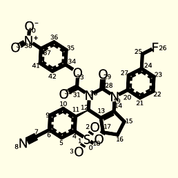 CS(=O)(=O)c1cc(C#N)ccc1[C@@H]1C2=C(CCC2=O)N(c2cccc(CF)c2)C(=O)N1C(=O)Oc1ccc([N+](=O)[O-])cc1